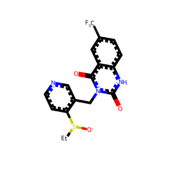 CC[S+]([O-])c1ccncc1Cn1c(=O)[nH]c2ccc(C(F)(F)F)cc2c1=O